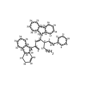 C=C(/C=C(\C(/C=N/c1ccccc1)CN)n1c2ccccc2c2ccccc21)n1c2c(c3ccccc31)CCC=C2